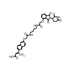 C/C(=C\C(=O)O)c1ccc2cc(OCC(=O)NCCCCNC(=O)COc3cccc4c3C(=O)N(C3CCC(=O)NC3=O)C4=O)ccc2c1